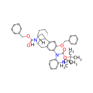 CN(C)c1ccccc1N(C(=O)OC(C)(C)C)c1cc2c(cc1OCc1ccccc1)[C@@]13CCCC[C@H]1[C@@H](C2)N(C(=O)OCc1ccccc1)CC3